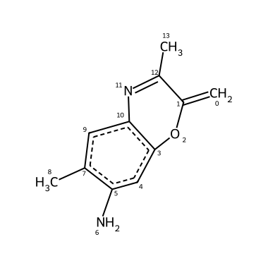 C=C1Oc2cc(N)c(C)cc2N=C1C